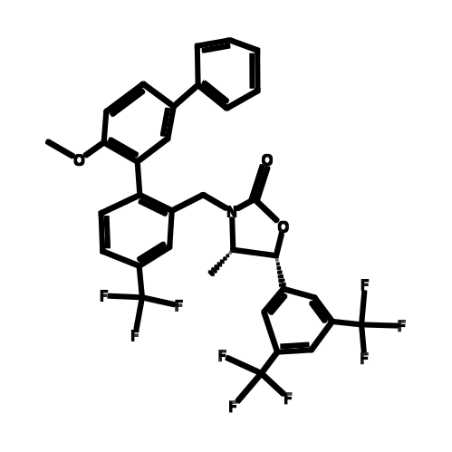 COc1ccc(-c2ccccc2)cc1-c1ccc(C(F)(F)F)cc1CN1C(=O)O[C@H](c2cc(C(F)(F)F)cc(C(F)(F)F)c2)[C@@H]1C